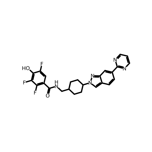 O=C(NCC1CCC(n2cc3ccc(-c4ncccn4)cc3n2)CC1)c1cc(F)c(O)c(F)c1F